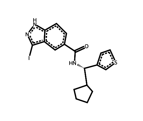 O=C(N[C@H](c1ccsc1)C1CCCC1)c1ccc2[nH]nc(I)c2c1